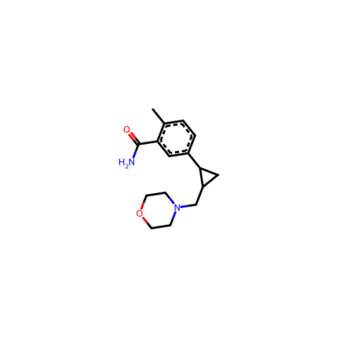 Cc1ccc(C2CC2CN2CCOCC2)cc1C(N)=O